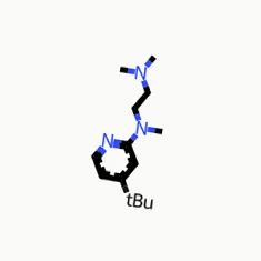 CN(C)CCN(C)c1cc(C(C)(C)C)ccn1